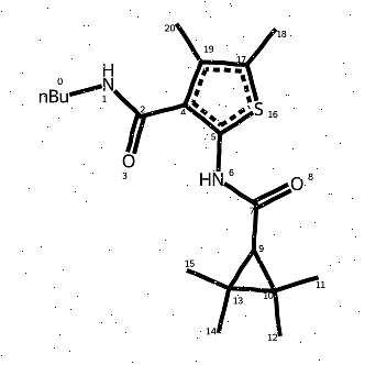 CCCCNC(=O)c1c(NC(=O)C2C(C)(C)C2(C)C)sc(C)c1C